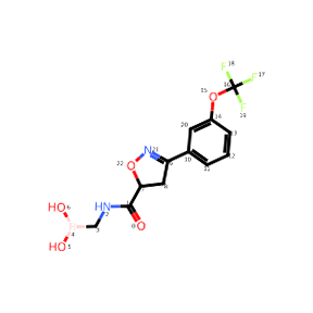 O=C(NCB(O)O)C1CC(c2cccc(OC(F)(F)F)c2)=NO1